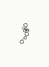 c1ccc(COc2ccc3n[13c](-c4ccccc4)oc3c2)cc1